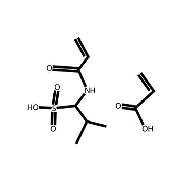 C=CC(=O)NC(C(C)C)S(=O)(=O)O.C=CC(=O)O